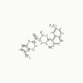 C[C@H]1CN(c2c(C#N)cnc3ccc(C(F)(F)F)cc23)CC[C@H]1C(=O)N1CCn2c(nnc2C(F)(F)F)C1